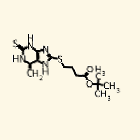 C=C1NC(=S)Nc2nc(SCCCC(=O)OC(C)(C)C)[nH]c21